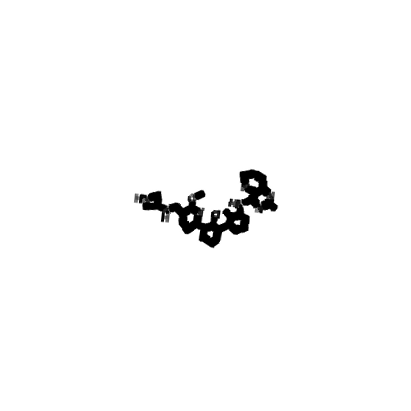 COc1nc(-c2cccc(-c3cccc(Nc4nc(C)nc5cccnc45)c3C)c2Cl)ccc1CNC1CNC1